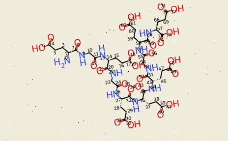 N[C@@H](CCC(=O)O)C(=O)NCC(=O)N[C@@H](CCC(=O)O)C(=O)NCC(=O)N[C@@H](CCC(=O)O)C(=O)N[C@@H](CCC(=O)O)C(=O)N[C@@H](CCC(=O)O)C(=O)NCC(=O)N[C@@H](CCC(=O)O)C(=O)N[C@@H](CCC(=O)O)C(=O)O